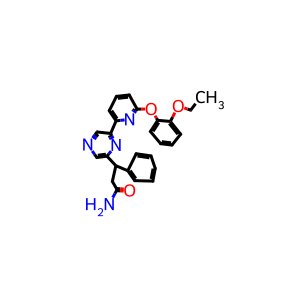 CCOc1ccccc1Oc1cccc(-c2cncc(C(CC(N)=O)c3ccccc3)n2)n1